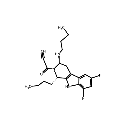 C#CC(=O)N1[C@@H](NCCCC)Cc2c([nH]c3c(F)cc(F)cc23)[C@@H]1CCCC